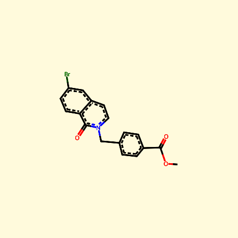 COC(=O)c1ccc(Cn2ccc3cc(Br)ccc3c2=O)cc1